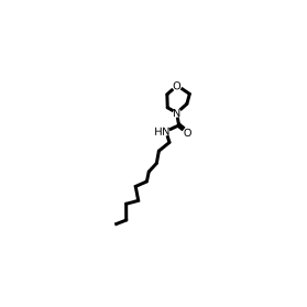 CCCCCCCCCCNC(=O)N1CCOCC1